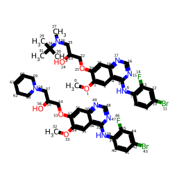 COc1cc2c(Nc3ccc(Br)cc3F)ncnc2cc1OCC(O)CN(C)C(C)(C)C.COc1cc2c(Nc3ccc(Br)cc3F)ncnc2cc1OCC(O)CN1CC=CCC1